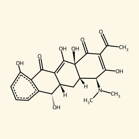 CC(=O)C1=C(O)[C@@H](N(C)C)[C@@H]2C[C@H]3C(=C(O)[C@]2(O)C1=O)C(=O)c1c(O)cccc1[C@H]3O